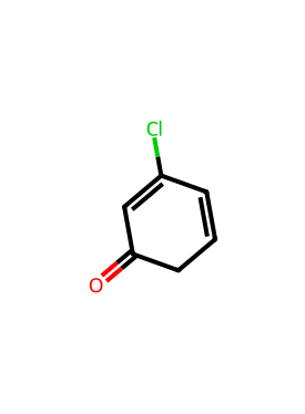 O=C1C=C(Cl)C=CC1